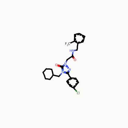 O=C(Cn1nc(-c2ccc(Cl)cc2)n(CC2CCCCC2)c1=O)NCc1ccccc1C(F)(F)F